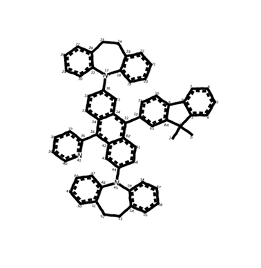 CC1(C)c2ccccc2-c2ccc(-c3c4cc(N5c6ccccc6CCc6ccccc65)ccc4c(-c4ccccn4)c4cc(N5c6ccccc6CCc6ccccc65)ccc34)cc21